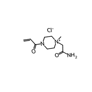 C=CC(=O)N1CC[N+](C)(CC(N)=O)CC1.[Cl-]